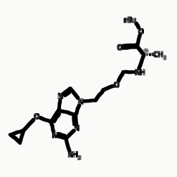 CCCCOC(=O)[C@H](C)NCOCCn1cnc2c(OC3CC3)nc(N)nc21